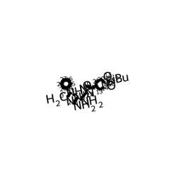 C=C(/N=C(N)\N=C(/N)c1noc(C2CCN(S(=O)(=O)C(C)CC)CC2)n1)Nc1ccccc1